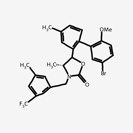 COc1ccc(Br)cc1-c1ccc(C)cc1C1OC(=O)N(Cc2cc(C)cc(C(F)(F)F)c2)[C@@H]1C